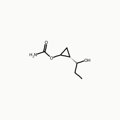 CCC(O)[C@H]1CC1OC(N)=O